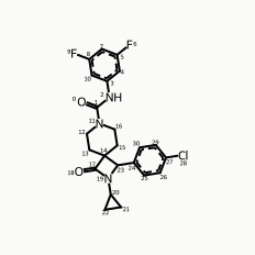 O=C(Nc1cc(F)cc(F)c1)N1CCC2(CC1)C(=O)N(C1CC1)C2c1ccc(Cl)cc1